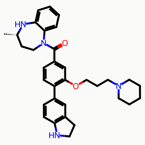 C[C@H]1CCN(C(=O)c2ccc(-c3ccc4c(c3)CCN4)c(OCCCN3CCCCC3)c2)c2ccccc2N1